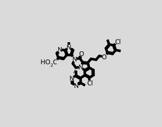 Cc1cc(OCCCc2c3n(c4c(-c5c(C)ncnc5C)c(Cl)ccc24)[C@H](C)CN(c2cn(C)c4ncc(C(=O)O)cc24)C3=O)cc(C)c1Cl